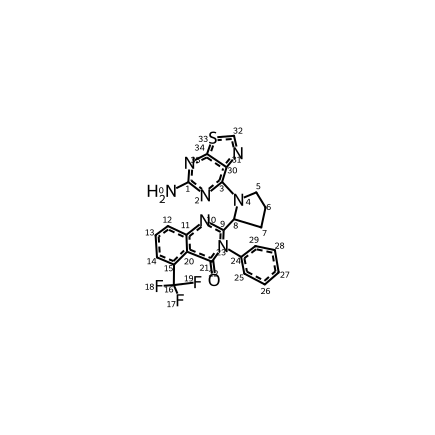 Nc1nc(N2CCCC2c2nc3cccc(C(F)(F)F)c3c(=O)n2-c2ccccc2)c2ncsc2n1